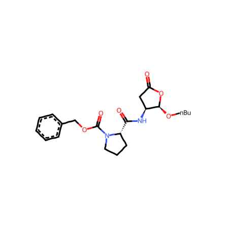 CCCCO[C@@H]1OC(=O)C[C@@H]1NC(=O)[C@@H]1CCCN1C(=O)OCc1ccccc1